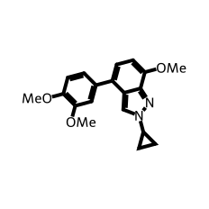 COc1ccc(-c2ccc(OC)c3nn(C4CC4)cc23)cc1OC